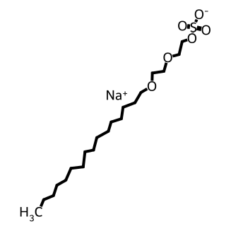 CCCCCCCCCCCCCCCCOCCOCCOS(=O)(=O)[O-].[Na+]